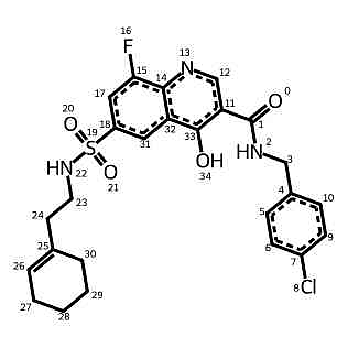 O=C(NCc1ccc(Cl)cc1)c1cnc2c(F)cc(S(=O)(=O)NCCC3=CCCCC3)cc2c1O